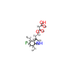 CCc1cc(F)c(CC)c2c(CCOC(=O)CC(=O)O)c[nH]c12